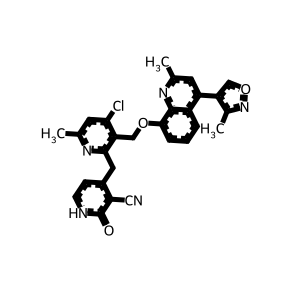 Cc1cc(Cl)c(COc2cccc3c(-c4conc4C)cc(C)nc23)c(Cc2cc[nH]c(=O)c2C#N)n1